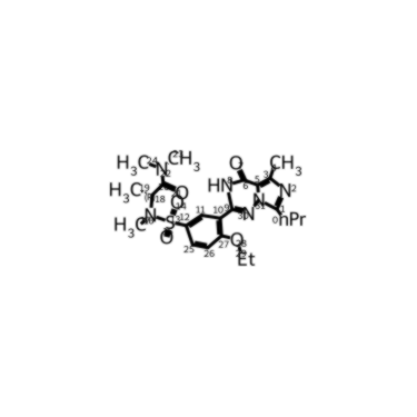 CCCc1nc(C)c2c(=O)[nH]c(-c3cc(S(=O)(=O)N(C)[C@H](C)C(=O)N(C)C)ccc3OCC)nn12